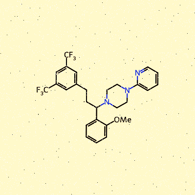 COc1ccccc1C([CH]Cc1cc(C(F)(F)F)cc(C(F)(F)F)c1)N1CCN(c2ccccn2)CC1